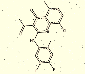 CC(=O)c1c(Nc2cc(F)c(F)cc2F)[nH]c2c(Cl)ccc(C)c2c1=O